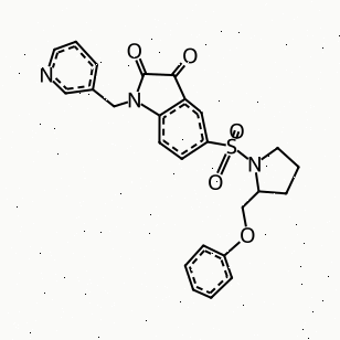 O=C1C(=O)N(Cc2cccnc2)c2ccc(S(=O)(=O)N3CCCC3COc3ccccc3)cc21